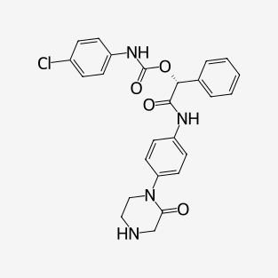 O=C(Nc1ccc(Cl)cc1)O[C@@H](C(=O)Nc1ccc(N2CCNCC2=O)cc1)c1ccccc1